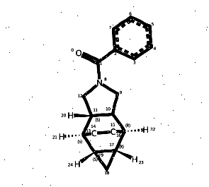 O=C(c1ccccc1)N1CC2[C@@H](C1)[C@H]1CC[C@@H]2[C@@H]2C[C@@H]21